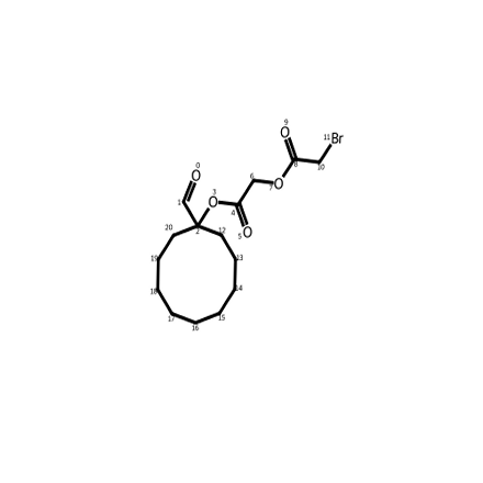 O=CC1(OC(=O)COC(=O)CBr)CCCCCCCCC1